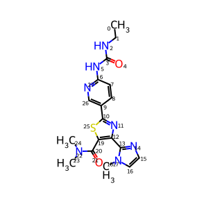 CCNC(=O)Nc1ccc(-c2nc(-c3nccn3C)c(C(=O)N(C)C)s2)cn1